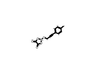 Cc1ccc(C#CCOn2oc(=O)c(=O)o2)cc1